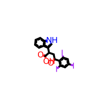 O=C(CC(C(=O)O)c1c[nH]c2ccccc12)c1c(I)cc(I)cc1I